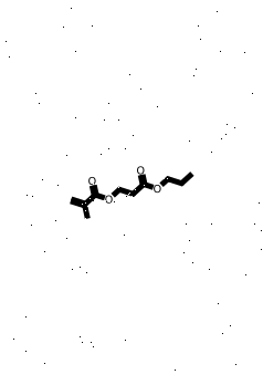 C=C(C)C(=O)OCCC(=O)OCCC